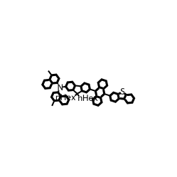 CCCCCCC1(CCCCCC)c2cc(-c3c4ccccc4c(-c4ccc5c(c4)sc4ccccc45)c4ccccc34)ccc2-c2ccc(N(c3ccc(C)c4ccccc34)c3ccc(C)c4ccccc34)cc21